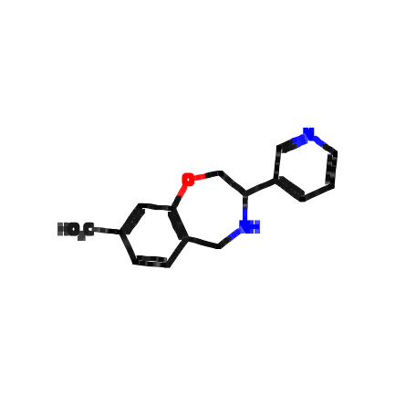 O=C(O)c1ccc2c(c1)OCC(c1cccnc1)NC2